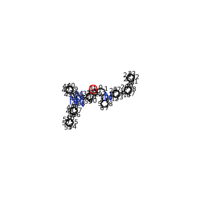 C1=CC2C(c3ccccc3N2c2ccc(-c3cccc(-c4ccccc4)c3)cc2)c2c1oc1cc(-c3nc(-c4ccccc4)nc(-c4ccc(-c5ccccc5)cc4)n3)ccc21